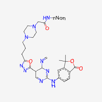 C=NC1N=C(Nc2ccc3c(c2)C(C)(C)OC3=O)N=CC1c1nnc(CCCN2CCN(CC(=O)NCCCCCCCCC)CC2)o1